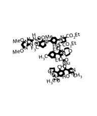 CCOC(=O)C1=NN(c2ccc(Cl)cc2Cl)C(C)(C(=O)OCC)C1.CCc1cc(C)cc(CC)c1-c1c(OC(=O)C(C)(C)C)n2n(c1=O)CCOCC2.COc1cc(OC)n2nc(NS(=O)(=O)c3c(C(F)(F)F)ccnc3OC)nc2n1.Cc1c(C(=O)c2cnn(C)c2O)ccc(S(C)(=O)=O)c1C1=NOCC1